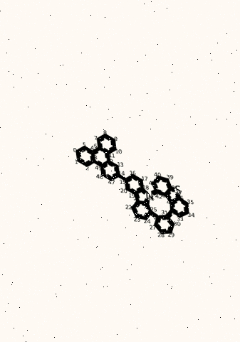 c1ccc2c(c1)c1ccccc1c1cc(-c3ccc4c(c3)c3cccc5c6ccccc6c6cccc7sc8cccc(c8c76)n4c53)ccc21